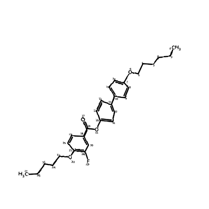 CCCCCCOc1ccc(-c2ccc(OC(=O)c3ccc(OCCCCC)c(F)c3)cc2)cc1